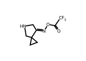 O=C(ON=C1CNCC12CC2)C(F)(F)F